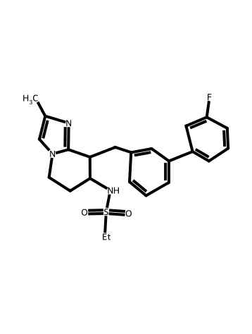 CCS(=O)(=O)NC1CCn2cc(C)nc2C1Cc1cccc(-c2cccc(F)c2)c1